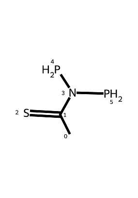 CC(=S)N(P)P